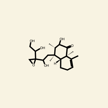 CC1=CCC[C@H]2[C@@]1(C)C(=O)C(O)[C@@H](C)[C@]2(C)CC(O)C1(C(O)CO)CO1